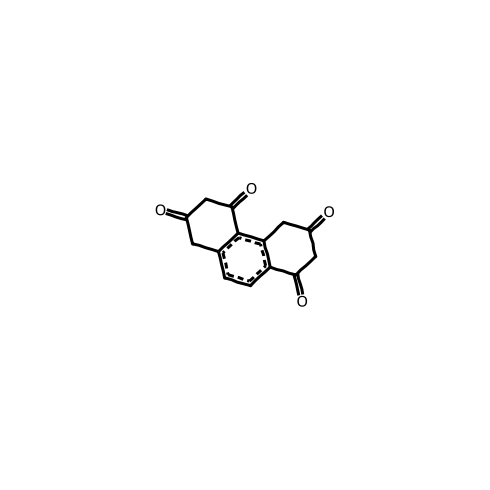 O=C1CC(=O)c2c(ccc3c2CC(=O)CC3=O)C1